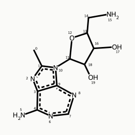 Cc1nc2c(N)ncnc2n1C1OC(CN)C(O)C1O